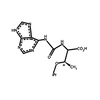 CC(C)O[C@H](C)C(NC(=O)Nc1ncnc2[nH]cnc12)C(=O)O